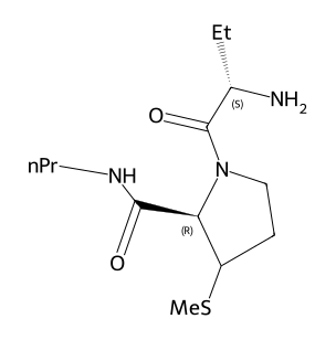 CCCNC(=O)[C@@H]1C(SC)CCN1C(=O)[C@@H](N)CC